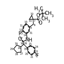 CC(C)(C)OC(=O)C1(Cc2ccc(F)c(NC(=O)C(c3ccc(F)cc3)C3CCCC3)c2)CC1